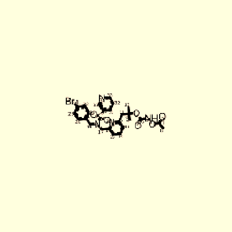 CC(=O)ONC(=O)OC(C)(C)Cc1cccc(CN(Cc2ccc(Br)cc2)S(=O)(=O)c2cccnc2)n1